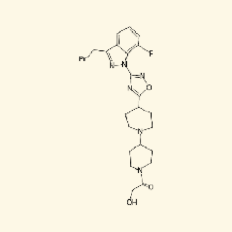 CC(C)Cc1nn(-c2noc(C3CCN(C4CCN(C(=O)CO)CC4)CC3)n2)c2c(F)cccc12